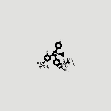 CC(C)S(=O)(=O)n1c(N)nc2ccc(-c3c(-c4ccccc4F)nc(-c4ccc(Cl)cc4)n3C3CC3)cc21.CS(=O)(=O)O